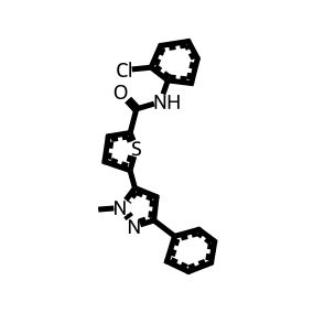 Cn1nc(-c2ccccc2)cc1-c1ccc(C(=O)Nc2ccccc2Cl)s1